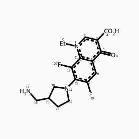 CCn1cc(C(=O)O)c(=O)c2cc(F)c(N3CCC(CN)C3)c(F)c21